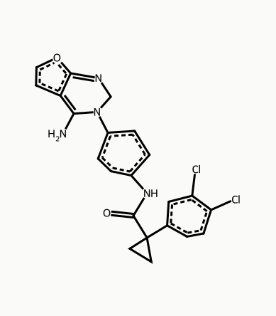 NC1=c2ccoc2=NCN1c1ccc(NC(=O)C2(c3ccc(Cl)c(Cl)c3)CC2)cc1